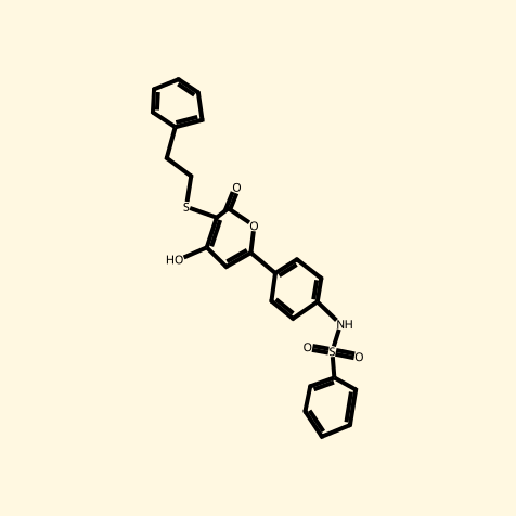 O=c1oc(-c2ccc(NS(=O)(=O)c3ccccc3)cc2)cc(O)c1SCCc1ccccc1